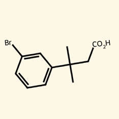 CC(C)(CC(=O)O)c1cccc(Br)c1